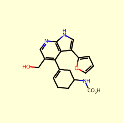 O=C(O)NC1CCC=C(c2c(CO)cnc3[nH]cc(-c4ccco4)c23)C1